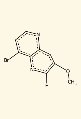 COc1cc2nccc(Br)c2nc1F